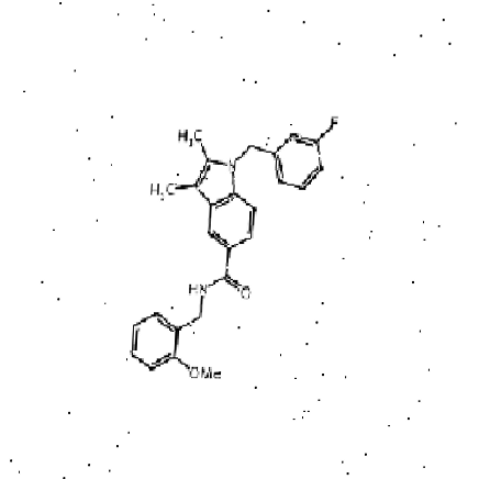 COc1ccccc1CNC(=O)c1ccc2c(c1)c(C)c(C)n2Cc1cccc(F)c1